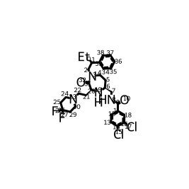 CCC(CN1CC[C@@H](CNC(=O)c2ccc(Cl)c(Cl)c2)N[C@@H](CCN2CCC(F)(F)CC2)C1=O)c1ccccc1